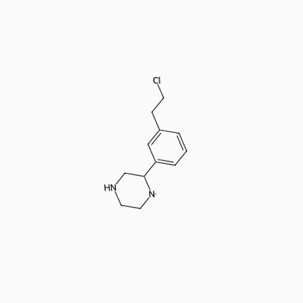 ClCCc1cccc(C2CNCC[N]2)c1